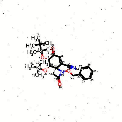 CC(C)(C)[Si](C)(C)O[C@@H]1C(=O)C=C(C#N)[C@]2(CC(=O)N2OCc2ccccc2)[C@@H]1O[Si](C)(C)C